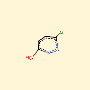 Oc1c[c]c(Cl)nn1